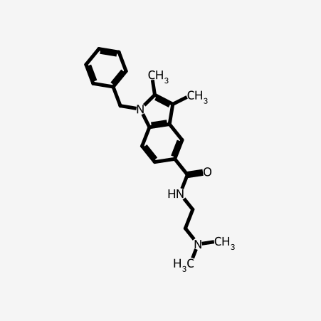 Cc1c(C)n(Cc2ccccc2)c2ccc(C(=O)NCCN(C)C)cc12